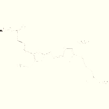 COC(=O)CCSC1=C(CS)S/C(=C\C=C2/SC(SC)=C(SCCC(=O)OC)S2)S1